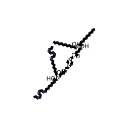 CC/C=C\C/C=C\C/C=C\CCCCCCC(O)CN(CCCSSCCN1CCN(CCOC(=O)CCC(C)N(CC(O)CCCCCCCCCC)CC(O)CCCCCCCCCC)CC1)CC(O)CCCCCC/C=C\C/C=C\C/C=C\CC